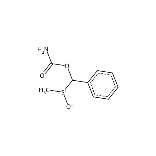 C[S+]([O-])C(OC(N)=O)c1ccccc1